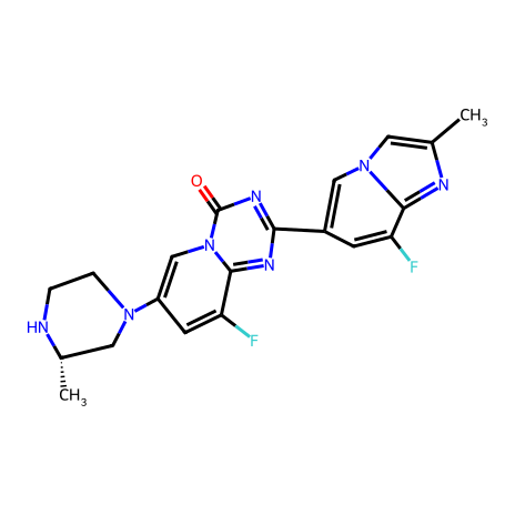 Cc1cn2cc(-c3nc(=O)n4cc(N5CCN[C@@H](C)C5)cc(F)c4n3)cc(F)c2n1